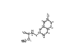 CC(C)(C)OC(=O)NCc1cc2nc(Cl)ccc2cn1